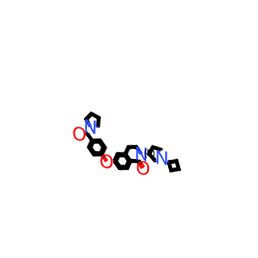 O=C(c1ccc(Oc2ccc3c(c2)CCN([C@@H]2CCN(C4CCC4)C2)C3=O)cc1)N1CCCC1